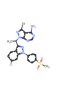 CCc1nn(C(C)c2nn(-c3ccc(S(C)(=O)=O)cc3)c3cc(Cl)ccc23)c2ncnc(N)c12